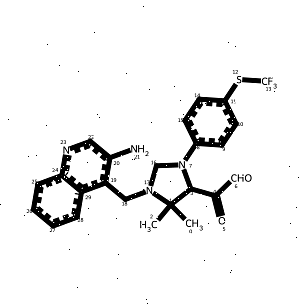 CC1(C)C(C(=O)C=O)N(c2ccc(SC(F)(F)F)cc2)CN1Cc1c(N)cnc2ccccc12